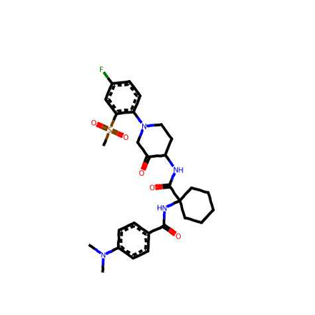 CN(C)c1ccc(C(=O)NC2(C(=O)NC3CCN(c4ccc(F)cc4S(C)(=O)=O)CC3=O)CCCCC2)cc1